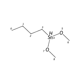 CCC[CH2][SnH]([O]C)[O]C